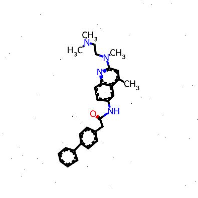 Cc1cc(N(C)CCN(C)C)nc2ccc(NC(=O)Cc3ccc(-c4ccccc4)cc3)cc12